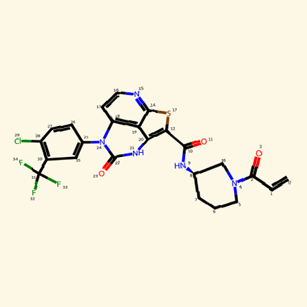 C=CC(=O)N1CCC[C@@H](NC(=O)c2sc3nccc4c3c2NC(=O)N4c2ccc(Cl)c(C(F)(F)F)c2)C1